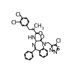 C[C@@H](Cc1ccc(Cl)c(Cl)c1)C(=O)NC1N=C(c2ccccc2)c2ccccc2N(Cc2nnsc2Cl)C1=O